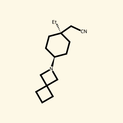 CC[C@]1(CC#N)CC[C@@H](N2CC3(CCC3)C2)CC1